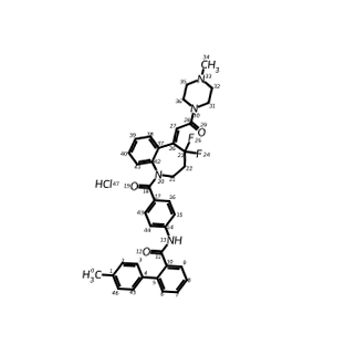 Cc1ccc(-c2ccccc2C(=O)Nc2ccc(C(=O)N3CCC(F)(F)/C(=C\C(=O)N4CCN(C)CC4)c4ccccc43)cc2)cc1.Cl